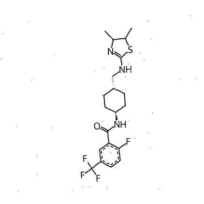 CC1N=C(NC[C@H]2CC[C@H](NC(=O)c3cc(C(F)(F)F)ccc3F)CC2)SC1C